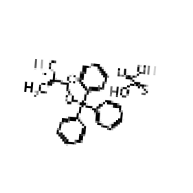 C=C(C)C(=O)OC(c1ccccc1)(c1ccccc1)c1ccccc1.O=S(O)(O)=S